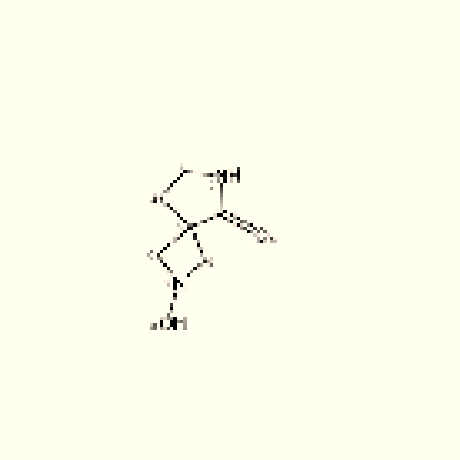 O=C1NCCC12CN(O)C2